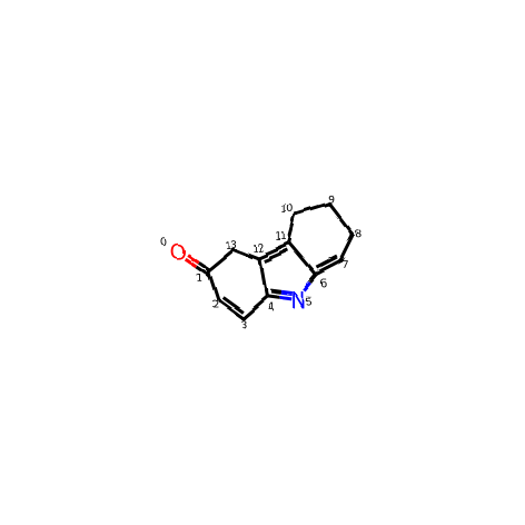 O=C1C=CC2=NC3=CCCCC3=C2C1